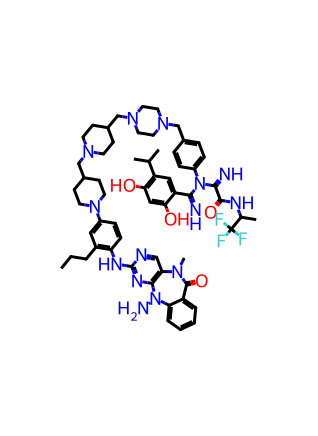 CCCc1cc(N2CCC(CN3CCC(CN4CCN(Cc5ccc(N(C(=N)C(=O)NC(C)C(F)(F)F)C(=N)c6cc(C(C)C)c(O)cc6O)cc5)CC4)CC3)CC2)ccc1Nc1ncc2c(n1)N(N)c1ccccc1C(=O)N2C